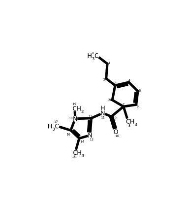 CCCC1=CC=CC(C)(C(=O)Nc2nc(C)c(C)n2C)C1